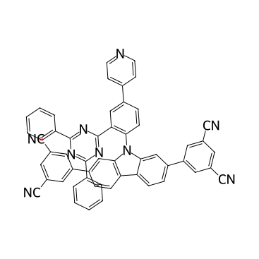 N#Cc1cc(C#N)cc(-c2ccc3c4ccc(-c5cc(C#N)cc(C#N)c5)cc4n(-c4ccc(-c5ccncc5)cc4-c4nc(-c5ccccc5)nc(-c5ccccc5)n4)c3c2)c1